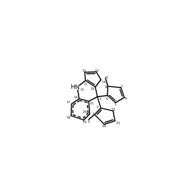 CC1=C(C2(C3=CC=CC3C)C3=C(C=CC3)Nc3ccccc32)CC=C1